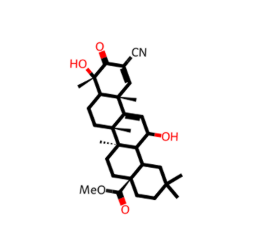 COC(=O)[C@]12CCC(C)(C)CC1C1C(O)C=C3[C@@]4(C)C=C(C#N)C(=O)[C@@](C)(O)C4CC[C@@]3(C)[C@]1(C)CC2